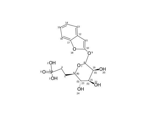 O=P(O)(O)CC[C@H]1OC(Oc2cc3ccccc3o2)[C@@H](O)[C@@H](O)[C@@H]1O